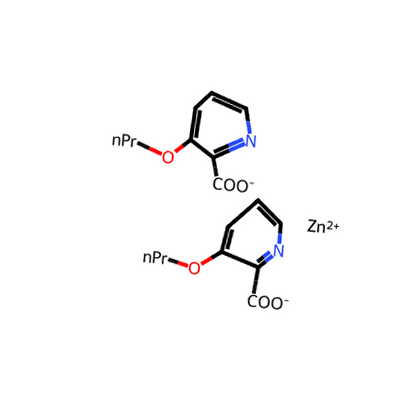 CCCOc1cccnc1C(=O)[O-].CCCOc1cccnc1C(=O)[O-].[Zn+2]